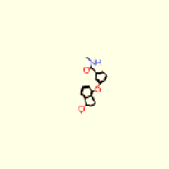 CNC(=O)c1cccc(Oc2cccc3c2CC[C@H]3OC)c1